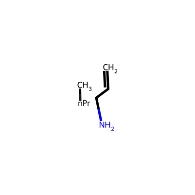 C=CCN.CCCC